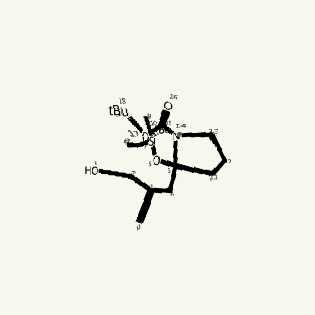 C=C(CO)CC1(O[Si](C)(C)C(C)(C)C)CCCN1C(=O)OC(C)(C)C